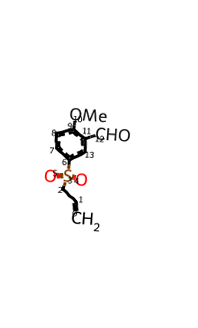 C=CCS(=O)(=O)c1ccc(OC)c(C=O)c1